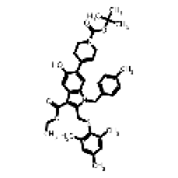 CCOC(=O)c1c(CSc2c(C)cc(C)cc2C)n(Cc2ccc(C)cc2)c2cc(C3=CCN(C(=O)OC(C)(C)C)CC3)c(O)cc12